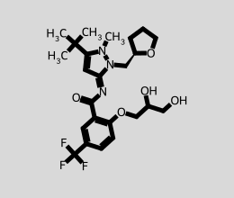 Cn1c(C(C)(C)C)c/c(=N\C(=O)c2cc(C(F)(F)F)ccc2OCC(O)CO)n1C[C@H]1CCCO1